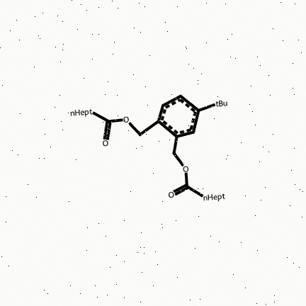 CCCCCCCC(=O)OCc1ccc(C(C)(C)C)cc1COC(=O)CCCCCCC